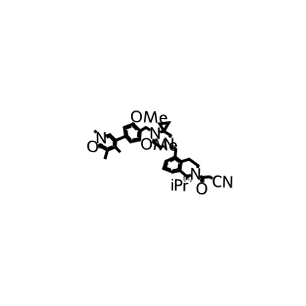 COc1cc(-c2cn(C)c(=O)c(C)c2C)cc(OC)c1CN1CCN(Cc2cccc3c2CCN(C(=O)CC#N)[C@@H]3C(C)C)CC12CC2